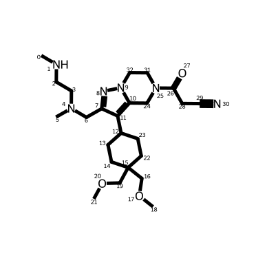 CNCCN(C)Cc1nn2c(c1C1CCC(COC)(COC)CC1)CN(C(=O)CC#N)CC2